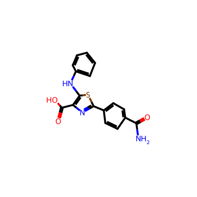 NC(=O)c1ccc(-c2nc(C(=O)O)c(Nc3ccccc3)s2)cc1